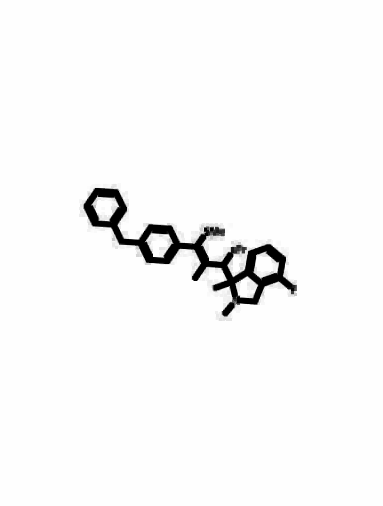 CCCC(/C(C)=C(\SC)c1ccc(Cc2ccccc2)cc1)C1(C)c2cccc(F)c2CN1C